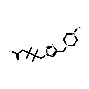 CC(C)C(=O)CC(C)(C)C(C)(C)Cn1cc(CN2CCN(C(C)C)CC2)nn1